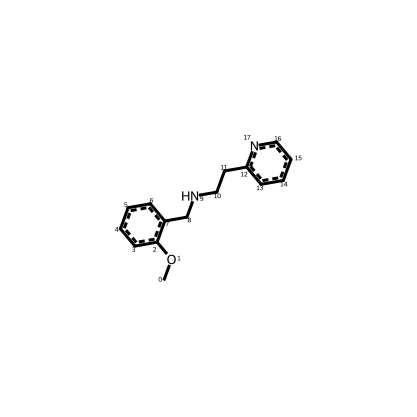 COc1ccccc1CNCCc1ccccn1